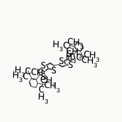 CC(C)(C)C1=C(c2cc3sc4cc(-c5cc6sc7cc(-c8c(C(C)(C)C)cccc8C(C)(C)C)sc7c6s5)sc4c3s2)C(C(C)(C)C)CC=C1